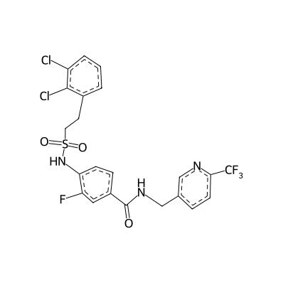 O=C(NCc1ccc(C(F)(F)F)nc1)c1ccc(NS(=O)(=O)CCc2cccc(Cl)c2Cl)c(F)c1